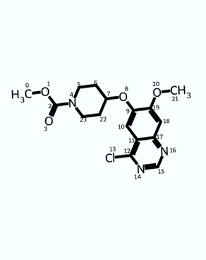 COC(=O)N1CCC(Oc2cc3c(Cl)ncnc3cc2OC)CC1